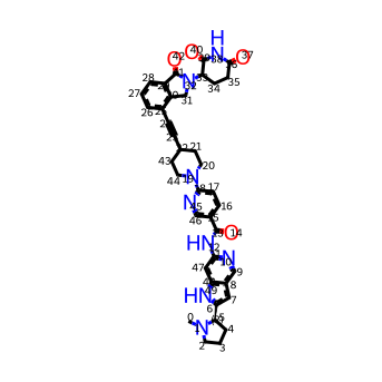 CN1CCC[C@@H]1c1cc2cnc(NC(=O)c3ccc(N4CCC(C#Cc5cccc6c5CN(C5CCC(=O)NC5=O)C6=O)CC4)nc3)cc2[nH]1